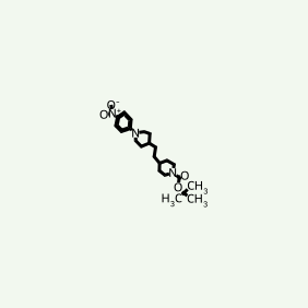 CC(C)(C)OC(=O)N1CCC(CCC2CCN(c3ccc([N+](=O)[O-])cc3)CC2)CC1